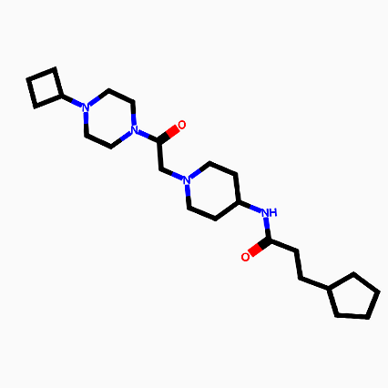 O=C(CCC1CCCC1)NC1CCN(CC(=O)N2CCN(C3CCC3)CC2)CC1